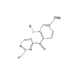 COc1ccc(C(=O)c2ccnc(Cl)n2)c(OC(C)C)c1